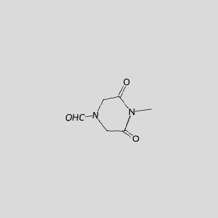 CN1C(=O)CN(C=O)CC1=O